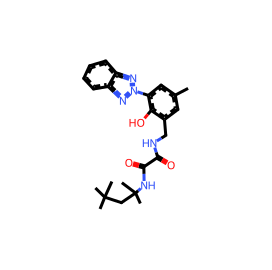 Cc1cc(CNC(=O)C(=O)NC(C)(C)CC(C)(C)C)c(O)c(-n2nc3ccccc3n2)c1